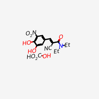 CCN(CC)C(=O)/C(C#N)=C/c1cc(O)c(O)c([N+](=O)[O-])c1.O=C(O)O